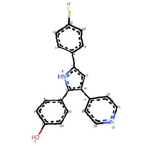 Oc1ccc(-c2[nH]c(-c3ccc(F)cc3)cc2-c2ccncc2)cc1